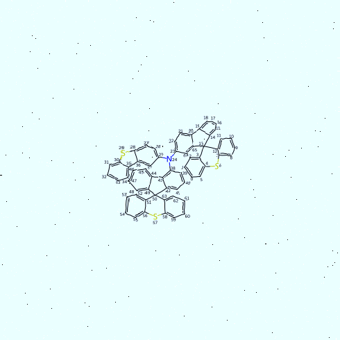 c1ccc2c(c1)Sc1ccccc1C21c2ccccc2-c2ccc(N(c3ccc4sc5ccccc5c4c3)c3cccc4c3-c3ccccc3C43c4ccccc4Sc4ccccc43)cc21